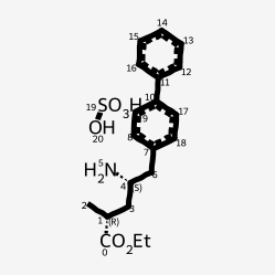 CCOC(=O)[C@H](C)C[C@H](N)Cc1ccc(-c2ccccc2)cc1.O=S(=O)(O)O